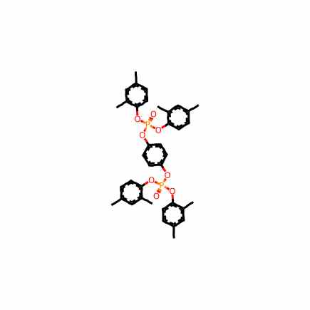 Cc1ccc(OP(=O)(Oc2ccc(OP(=O)(Oc3ccc(C)cc3C)Oc3ccc(C)cc3C)cc2)Oc2ccc(C)cc2C)c(C)c1